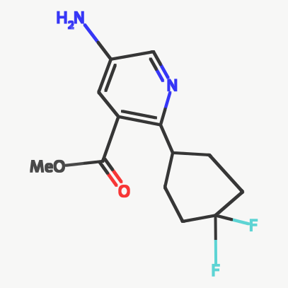 COC(=O)c1cc(N)cnc1C1CCC(F)(F)CC1